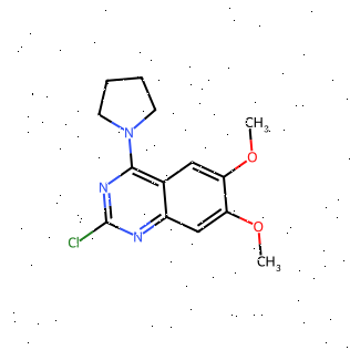 COc1cc2nc(Cl)nc(N3CCCC3)c2cc1OC